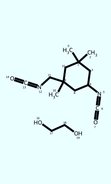 CC1(C)CC(N=C=O)CC(C)(CN=C=O)C1.OCCO